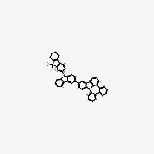 CC1(C)C2=C(CCCC2)c2ccc(-n3c4ccccc4c4cc(-c5ccc6c(c5)c5cccc7c5n6-c5ccccc5-c5ccccc5-7)ccc43)cc21